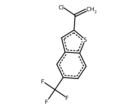 C=C(Cl)c1cc2cc(C(F)(F)F)ccc2s1